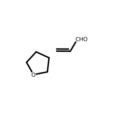 C1CCOC1.C=CC=O